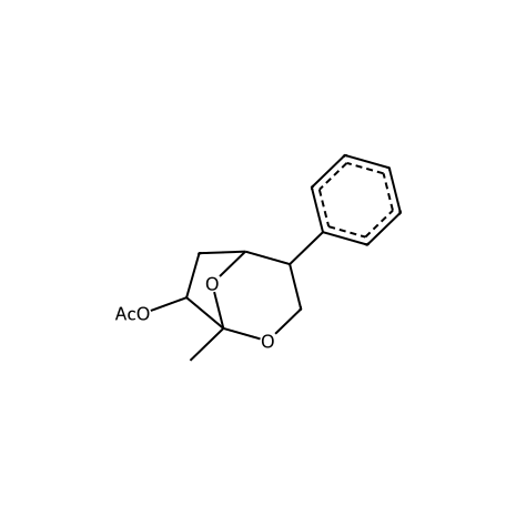 CC(=O)OC1CC2OC1(C)OCC2c1ccccc1